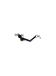 CCCCCCCC/C=C\CCCCCCCC(=O)N[C@H](CO)c1ccc(O)cc1